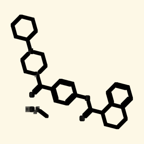 CS(=O)(=O)O.O=C(Oc1ccc(C(=O)N2CCN(C3CCCCC3)CC2)cc1)C1CCCc2ccccc21